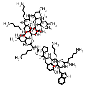 CC(C)C[C@H](NC(=O)[C@H](CC(C)C)NC(=O)[C@H](CCCCN)NC(=O)[C@H](CCCCN)NC(=O)[C@H](CC(C)C)NC(=O)[C@H](CC(C)C)NC(=O)[C@H](CCCCN)NC(=O)[C@@H]1CCCN1C(=O)[C@H](Cc1ccc(O)cc1)NC(=O)[C@H](CCCCN)NC(=O)[C@H](Cc1c[nH]c2ccccc12)NC(=O)[C@@H](N)CCCCN)C(=O)N[C@@H](CCCCN)C(=O)O